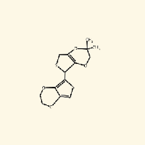 CC1(C)COC2=C(CSC2c2scc3c2OCCO3)O1